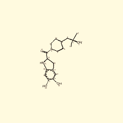 CC(C)(O)CC1CCN(C(=O)C2Cc3cc(O)c(O)cc3N2)CC1